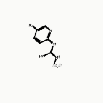 CCOC(=O)NC(S)Nc1ccc(Br)cn1